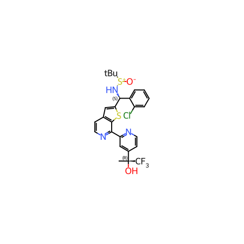 CC(C)(C)[S+]([O-])N[C@H](c1cc2ccnc(-c3cc([C@@](C)(O)C(F)(F)F)ccn3)c2s1)c1ccccc1Cl